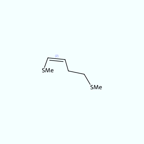 CS/C=C\CCSC